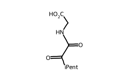 CCCC(C)C(=O)C(=O)NCC(=O)O